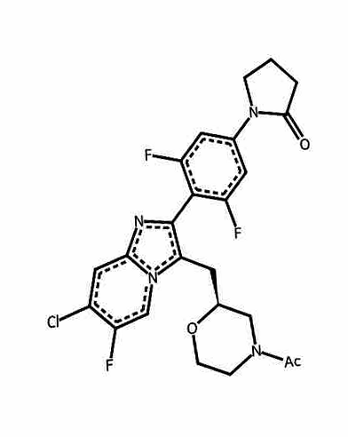 CC(=O)N1CCO[C@@H](Cc2c(-c3c(F)cc(N4CCCC4=O)cc3F)nc3cc(Cl)c(F)cn23)C1